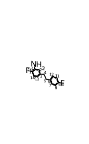 Nc1cc(CCc2ccc(F)cc2)ccc1F